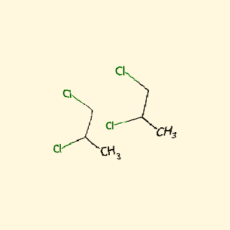 CC(Cl)CCl.CC(Cl)CCl